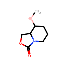 CBC1CCCN2C(=O)OCC12